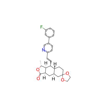 C[C@H]1OC(=O)[C@@H]2C[C@@H]3CC4(CC[C@H]3[C@H](/C=C/c3ccc(-c5cccc(F)c5)cn3)[C@H]12)OCCO4